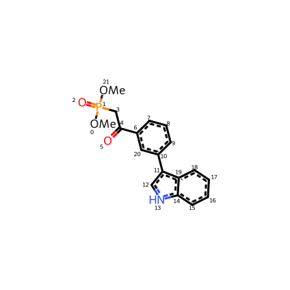 COP(=O)(CC(=O)c1cccc(-c2c[nH]c3ccccc23)c1)OC